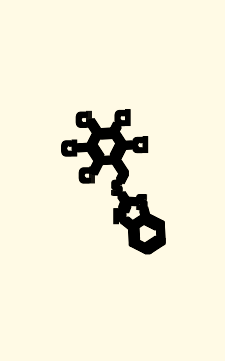 Clc1c(Cl)c(Cl)c(CSc2nc3ccccc3s2)c(Cl)c1Cl